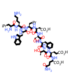 CC(C)C[C@H](NC(=O)[C@H](Cc1c[nH]c2ccccc12)NC(=O)[C@H](CCCCN)NC(=O)[C@@H](N)CC(C)C)C(=O)N[C@@H](CC(=O)O)C(=O)N[C@@H](CO)C(=O)N[C@@H](Cc1ccccc1)C(=O)N[C@H](C(=O)N[C@@H](CCC(=O)O)C(=O)N[C@@H](CCC(N)=O)C(=O)O)[C@@H](C)O